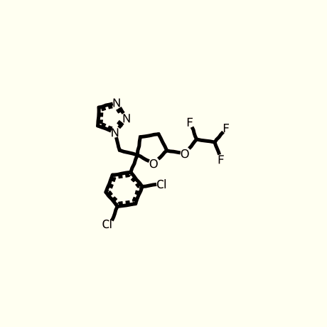 FC(F)C(F)OC1CCC(Cn2ccnn2)(c2ccc(Cl)cc2Cl)O1